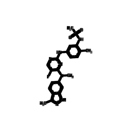 Cc1ccc(Nc2ncc(F)c(N(C)c3ccc4c(C)n[nH]c4c3)n2)cc1NS(C)(=O)=O